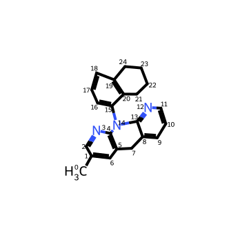 Cc1cnc2c(c1)Cc1cccnc1N2c1cccc2c1CCCC2